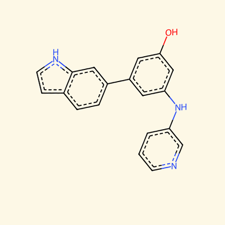 Oc1cc(Nc2cccnc2)cc(-c2ccc3cc[nH]c3c2)c1